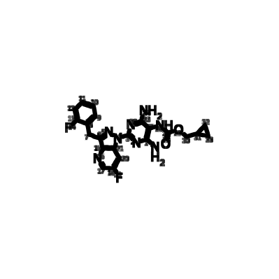 Nc1nc(-n2nc(Cc3ccccc3F)c3ncc(F)cc32)nc(N)c1NC(=O)OCC1CC1